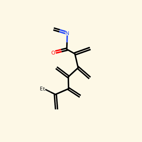 C=NC(=O)C(=C)C(=C)C(=C)C(=C)C(=C)CC